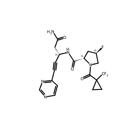 NC(=O)C[C@@H](C#Cc1ccncn1)NC(=O)[C@@H]1C[C@@H](F)CN1C(=O)C1(C(F)(F)F)CC1